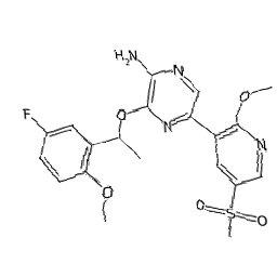 COc1ccc(F)cc1C(C)Oc1nc(-c2cc(S(C)(=O)=O)cnc2OC)cnc1N